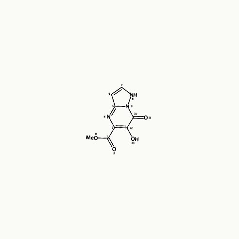 COC(=O)c1nc2cc[nH]n2c(=O)c1O